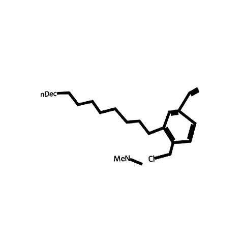 C=Cc1ccc(CCl)c(CCCCCCCCCCCCCCCCCC)c1.CNC